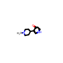 CN1CCC(c2c[nH]ccc2=O)CC1